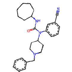 N#Cc1cccc(N(C(=O)NC2CCCCCC2)C2CCN(Cc3ccccc3)CC2)c1